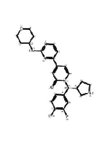 O=c1cc(-c2ccnc(NC3CCOCC3)n2)ccn1[C@@H](c1ccc(Cl)c(F)c1)C1CCNC1